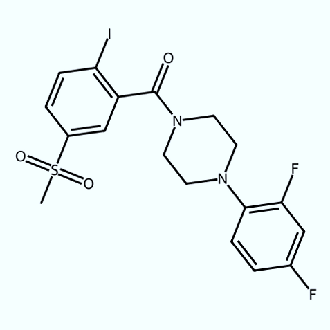 CS(=O)(=O)c1ccc(I)c(C(=O)N2CCN(c3ccc(F)cc3F)CC2)c1